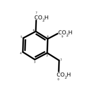 O=C(O)Cc1cccc(C(=O)O)c1C(=O)O